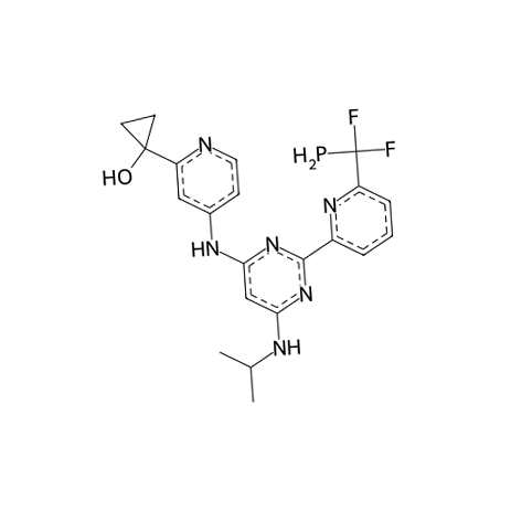 CC(C)Nc1cc(Nc2ccnc(C3(O)CC3)c2)nc(-c2cccc(C(F)(F)P)n2)n1